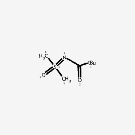 CC(C)(C)C(=O)N=S(C)(C)=O